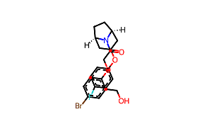 O=C(COc1ccc(Br)cc1CO)N1[C@@H]2CC[C@H]1CC(Oc1ccc(F)cc1)C2